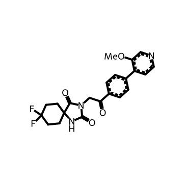 COc1cnccc1-c1ccc(C(=O)CN2C(=O)NC3(CCC(F)(F)CC3)C2=O)cc1